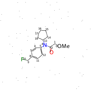 [CH2]OCC(=O)N(c1ccc(CF)cc1)C1CCCCC1